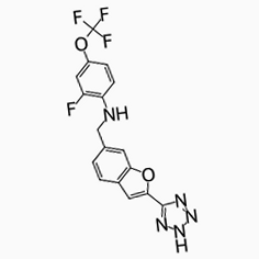 Fc1cc(OC(F)(F)F)ccc1NCc1ccc2cc(-c3nn[nH]n3)oc2c1